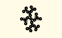 c1ccc(-c2cc(-c3ccccc3)nc(-c3cccc(-c4cc(-c5ccc(-n6c7ccc(N(c8ccccc8)c8ccccc8)cc7c7cc(N(c8ccccc8)c8ccccc8)ccc76)cc5)c(-c5cccc(-c6nc(-c7ccccc7)cc(-c7ccccc7)n6)c5)cc4-c4ccc(-n5c6ccc(N(c7ccccc7)c7ccccc7)cc6c6cc(N(c7ccccc7)c7ccccc7)ccc65)cc4)c3)n2)cc1